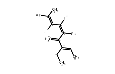 C=C(/C(F)=C(F)\C(F)=C(/C)F)/C(=C/C)CC